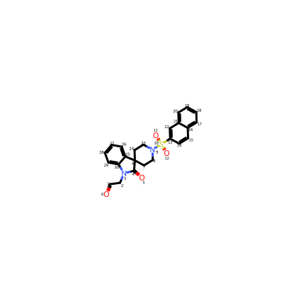 O=CCN1C(=O)C2(CCN(S(=O)(=O)c3ccc4ccccc4c3)CC2)c2ccccc21